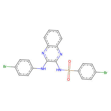 O=S(=O)(Nc1nc2ccccc2nc1Nc1ccc(Br)cc1)c1ccc(Br)cc1